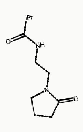 CC(C)C(=O)NCCN1CCCC1=O